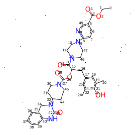 CCOC(=O)c1ccc(N2CCN(C(=O)[C@@H](Cc3cc(C)c(O)c(C)c3)OC(=O)N3CCC(N4Cc5ccccc5NC4=O)CC3)CC2)nc1